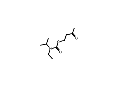 CCN(C(=O)OCCC(C)=O)C(C)C